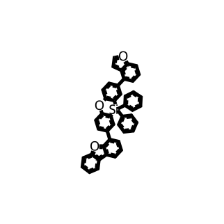 c1ccc([Si]2(c3ccccc3)c3cc(-c4cccc5occc45)ccc3Oc3ccc(-c4cccc5c4oc4ccccc45)cc32)cc1